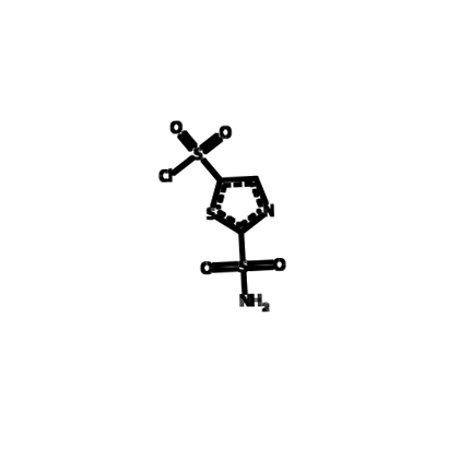 NS(=O)(=O)c1ncc(S(=O)(=O)Cl)s1